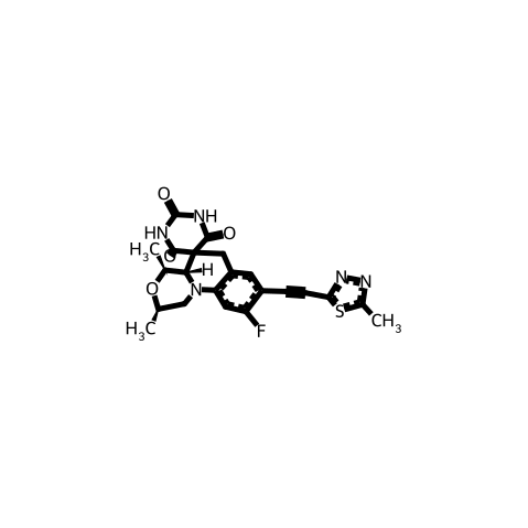 Cc1nnc(C#Cc2cc3c(cc2F)N2C[C@@H](C)O[C@@H](C)[C@@H]2C2(C3)C(=O)NC(=O)NC2=O)s1